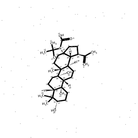 C=C(C)[C@@H]1CC[C@]2(N(C(=O)O)C(C)(C)C)CC[C@]3(C)[C@H](CC[C@@H]4[C@@]5(C)CC[C@H](O)C(C)(C)[C@@H]5CC[C@]43C)[C@@H]12